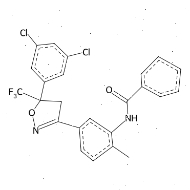 Cc1ccc(C2=NOC(c3cc(Cl)cc(Cl)c3)(C(F)(F)F)C2)cc1NC(=O)c1ccccc1